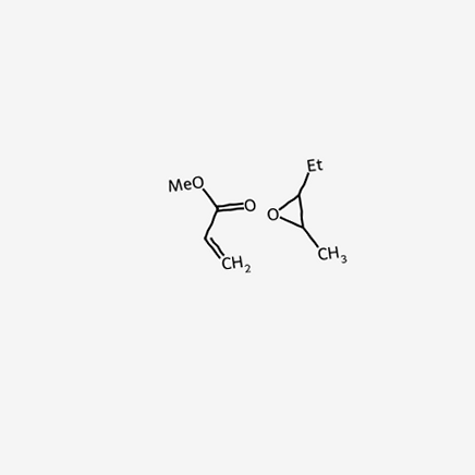 C=CC(=O)OC.CCC1OC1C